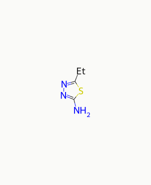 [CH2]Cc1nnc(N)s1